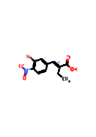 CC/C(=C\c1ccc([N+](=O)[O-])c(Br)c1)C(=O)O